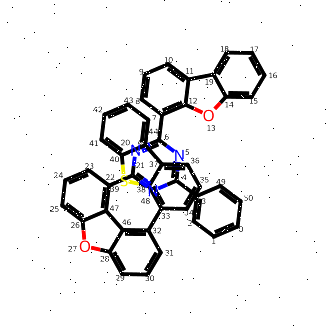 c1ccc(-c2nc(-c3cccc4c3oc3ccccc34)nc(-c3cccc4oc5cccc(-c6cccc7c6sc6ccccc67)c5c34)n2)cc1